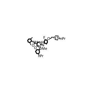 CCCc1ccc(Oc2nc(Nc3ccc(OCCN4CCN(CCC)CC4)c(F)c3)ncc2C(=O)Nc2c(C)cccc2C)c(OC)c1